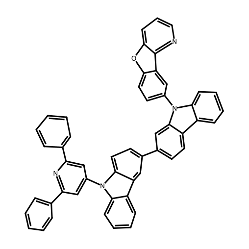 c1ccc(-c2cc(-n3c4ccccc4c4cc(-c5ccc6c7ccccc7n(-c7ccc8oc9cccnc9c8c7)c6c5)ccc43)cc(-c3ccccc3)n2)cc1